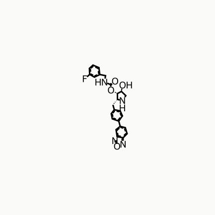 O=C(NCc1cccc(F)c1)O[C@@H]1[C@@H](O)CN[C@@H]1Cc1ccc(-c2ccc3nonc3c2)cc1